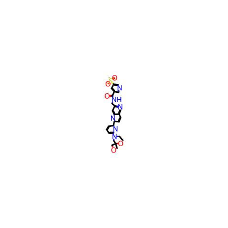 CS(=O)(=O)c1cncc(C(=O)NCc2cc3nc(-c4cccc(N5CCOC6(COC6)C5)n4)ccc3cn2)c1